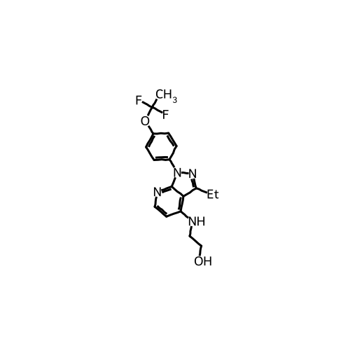 CCc1nn(-c2ccc(OC(C)(F)F)cc2)c2nccc(NCCO)c12